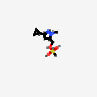 Cn1nc(C2CC2)cc1COS(C)(=O)=O